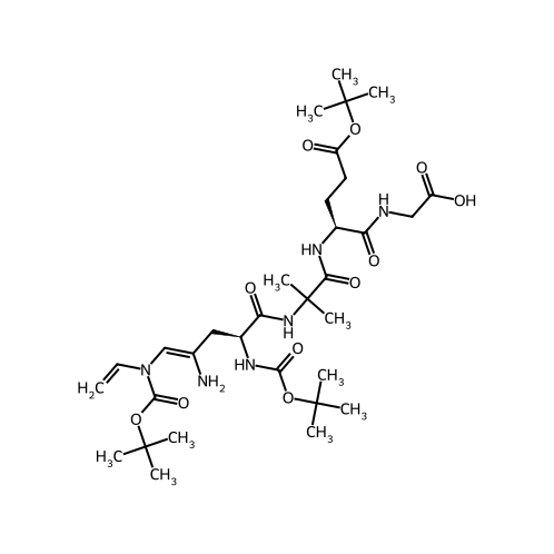 C=CN(/C=C(\N)C[C@H](NC(=O)OC(C)(C)C)C(=O)NC(C)(C)C(=O)N[C@@H](CCC(=O)OC(C)(C)C)C(=O)NCC(=O)O)C(=O)OC(C)(C)C